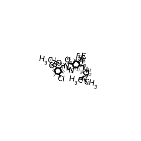 CCS(=O)(=O)c1ccc(Cl)cc1Cn1cnc2cc(CN3CC[C@@H](N(C)C)C3)c(C(F)(F)F)cc2c1=O